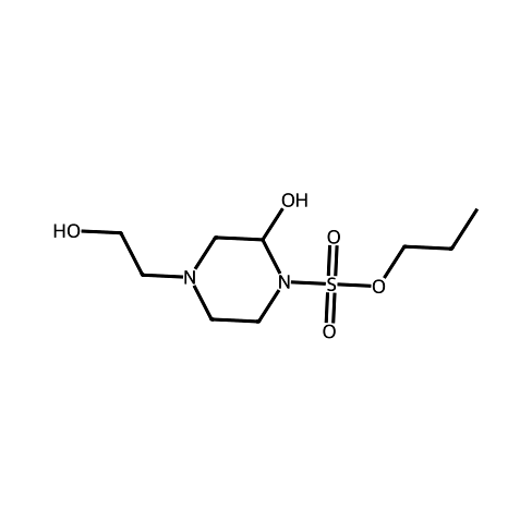 CCCOS(=O)(=O)N1CCN(CCO)CC1O